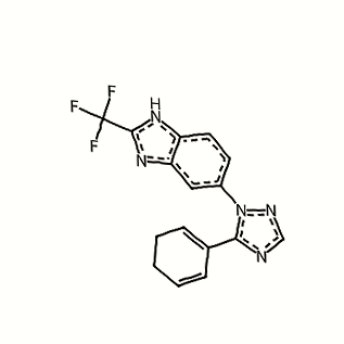 FC(F)(F)c1nc2cc(-n3ncnc3C3=CCCC=C3)ccc2[nH]1